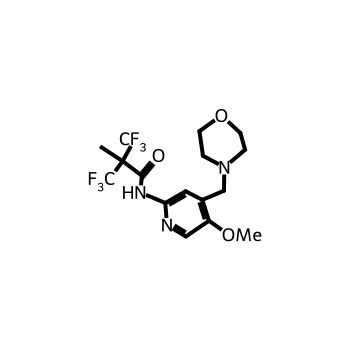 COc1cnc(NC(=O)C(C)(C(F)(F)F)C(F)(F)F)cc1CN1CCOCC1